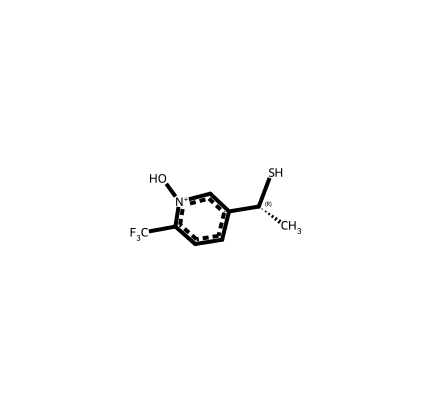 C[C@@H](S)c1ccc(C(F)(F)F)[n+](O)c1